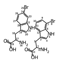 NC(Cc1c[nH]c2c(Br)cccc12)C(=O)O.NC(Cc1c[nH]c2cc(Br)ccc12)C(=O)O